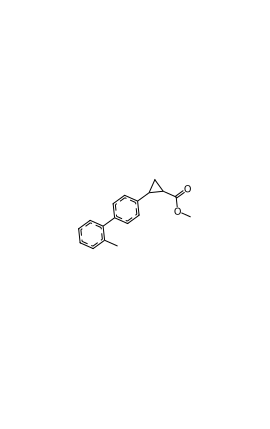 COC(=O)C1CC1c1ccc(-c2ccccc2C)cc1